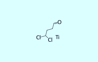 O=CCCC(Cl)Cl.[Ti]